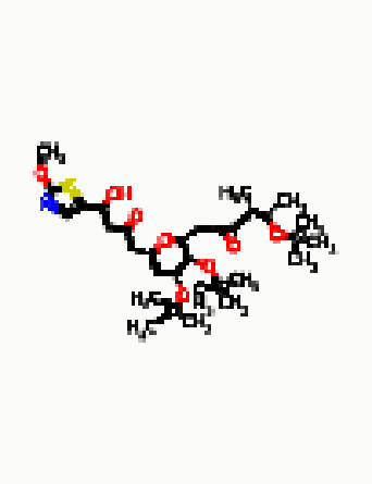 COc1ncc(C(O)CC(=O)C[C@@H]2C[C@@H](O[Si](C)(C)C)[C@H](O[Si](C)(C)C)[C@H](C[C@@H]3O[C@H]3[C@H](C)[C@H](C)O[Si](C)(C)C)O2)s1